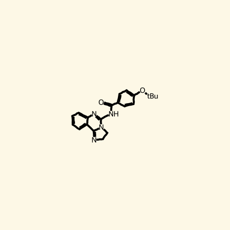 CC(C)(C)Oc1ccc(C(=O)NC2=Nc3ccccc3C3=NCCN23)cc1